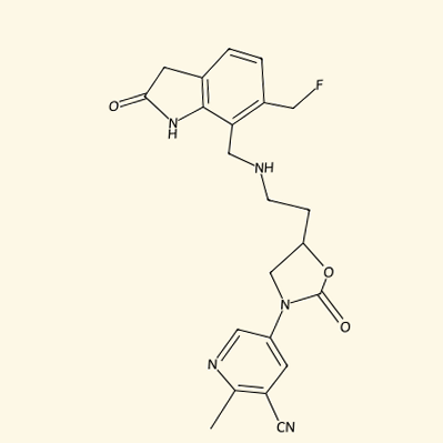 Cc1ncc(N2CC(CCNCc3c(CF)ccc4c3NC(=O)C4)OC2=O)cc1C#N